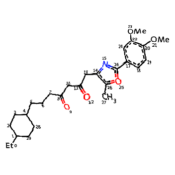 CCC1CCC(CCCC(=O)CC(=O)Cc2nc(-c3ccc(OC)c(OC)c3)oc2C)CC1